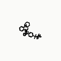 CN(C)SC(C)(C)c1ccc([S+]([O-])N2CC3CCCCN3c3ccccc32)cc1